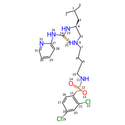 CC(C)C[C@@H](CNCCCCNS(=O)(=O)c1ccc(Cl)cc1Cl)NC(=S)Nc1ccccn1